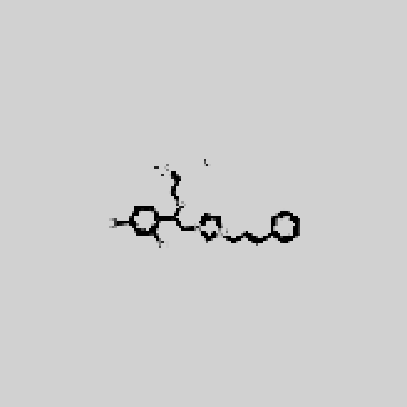 C=CCOC(Cn1cc[n+](CC=Cc2ccccc2)c1)c1ccc(Cl)cc1Cl.[Cl-]